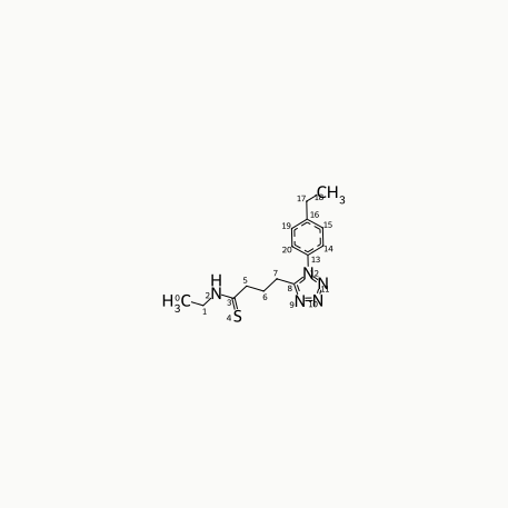 CCNC(=S)CCCc1nnnn1-c1ccc(CC)cc1